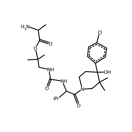 CC(N)C(=O)OC(C)(C)CNC(=O)NC(C(=O)N1CCC(O)(c2ccc(Cl)cc2)C(C)(C)C1)C(C)C